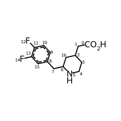 O=C(O)CC1CCNC(Cc2ccc(F)c(F)c2)C1